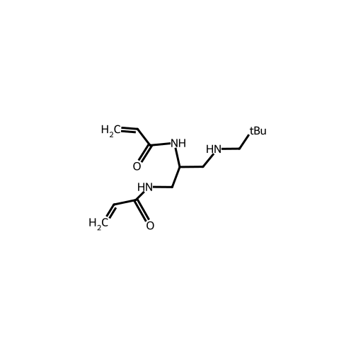 C=CC(=O)NCC(CNCC(C)(C)C)NC(=O)C=C